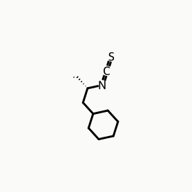 [CH2][C@@H](CC1CCCCC1)N=C=S